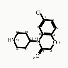 O=C1COc2ccc(Cl)cc2N1C1CCNCC1